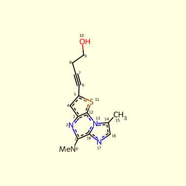 CNc1nc2cc(C#CCCO)sc2n2c(C)cnc12